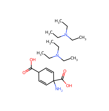 CCN(CC)CC.CCN(CC)CC.NC1(C(=O)O)C=CC(C(=O)O)C=C1